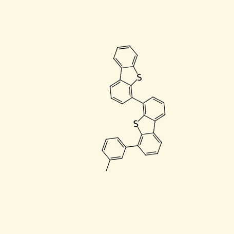 Cc1cccc(-c2cccc3c2sc2c(-c4cccc5c4sc4ccccc45)cccc23)c1